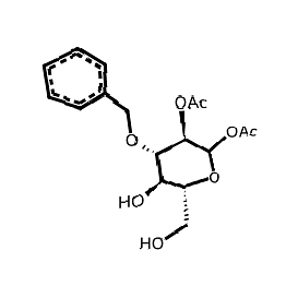 CC(=O)OC1O[C@H](CO)[C@@H](O)[C@H](OCc2ccccc2)[C@H]1OC(C)=O